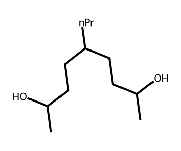 [CH2]CCC(CCC(C)O)CCC(C)O